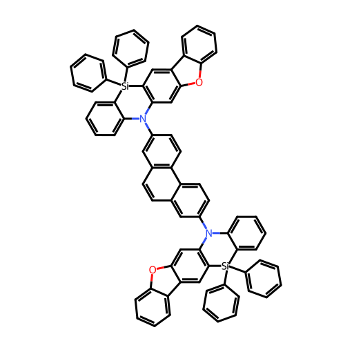 c1ccc([Si]2(c3ccccc3)c3ccccc3N(c3ccc4c(ccc5cc(N6c7ccccc7[Si](c7ccccc7)(c7ccccc7)c7cc8c(cc76)oc6ccccc68)ccc54)c3)c3cc4oc5ccccc5c4cc32)cc1